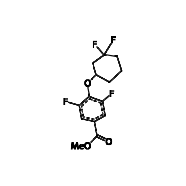 COC(=O)c1cc(F)c(OC2CCCC(F)(F)C2)c(F)c1